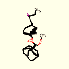 CCC(I)c1ccc(OC(OC)C23CC4CC(CC(C4)C2)C3)cc1